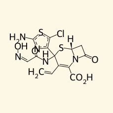 C=CC1=C(C(=O)O)N2C(=O)C[C@H]2SC1(NC(=O)/C=N\O)c1nc(N)sc1Cl